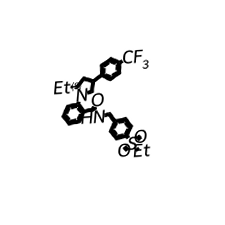 CC[C@H]1CC(c2ccc(C(F)(F)F)cc2)CN1c1ccccc1C(=O)NCc1ccc(S(=O)(=O)CC)cc1